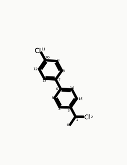 CC(Cl)c1ccc(-c2ccc(Cl)cc2)cc1